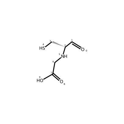 O=[C][C@@H](CS)NCC(=O)O